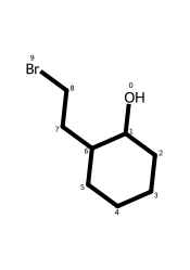 OC1CCCCC1CCBr